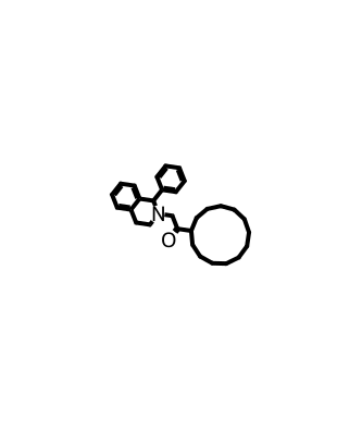 O=C(CN1CCc2ccccc2C1c1ccccc1)C1CCCCCCCCCCCC1